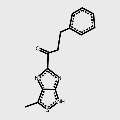 Cc1s[nH]c2nc(C(=O)CCc3ccccc3)nc1-2